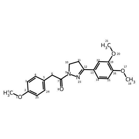 COc1ccc(CC(=O)N2CCC(c3ccc(OC)c(OC)c3)=N2)cc1